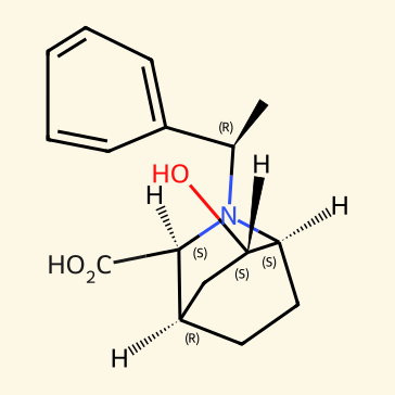 C[C@H](c1ccccc1)N1[C@H](C(=O)O)[C@@H]2CC[C@H]1[C@@H](O)C2